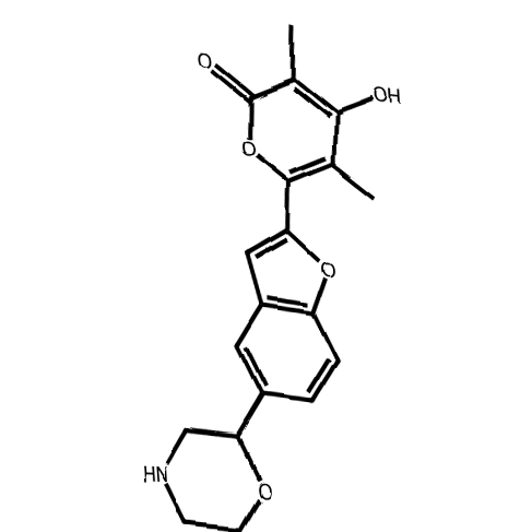 Cc1c(-c2cc3cc(C4CNCCO4)ccc3o2)oc(=O)c(C)c1O